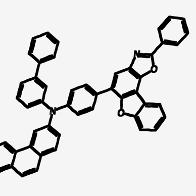 c1ccc(-c2cccc(N(c3ccc(-c4cc5nc(-c6ccccc6)oc5c5c4oc4ccccc45)cc3)c3ccc4ccc5ccccc5c4c3)c2)cc1